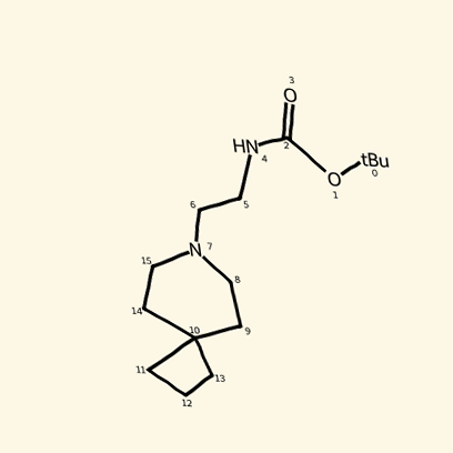 CC(C)(C)OC(=O)NCCN1CCC2(CCC2)CC1